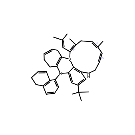 CC(C)=C/C1=C(\C)C/C=C(C)\C=C/CNc2cc(C(C)(C)C)cc3c2B1C1=C(CCC=CC1)N3c1cccc2c1C=CCC2